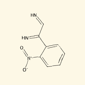 N=CC(=N)c1ccccc1[N+](=O)[O-]